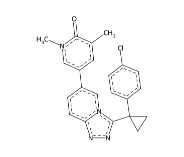 Cc1cc(-c2ccc3nnc(C4(c5ccc(Cl)cc5)CC4)n3c2)cn(C)c1=O